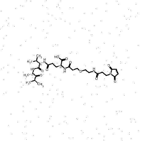 CC(C)C(=O)[C@H](C)NC(=O)[C@@H](NC(=O)CC[C@H](NC(=O)CCOCCNC(=O)CCN1C(=O)C=CC1=O)C(=O)O)C(C)C